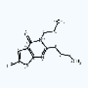 CCCCc1nc2sc(Cl)cc2c(=O)n1CCC